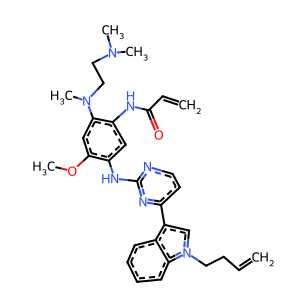 C=CCCn1cc(-c2ccnc(Nc3cc(NC(=O)C=C)c(N(C)CCN(C)C)cc3OC)n2)c2ccccc21